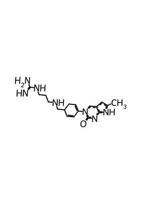 Cc1cc2cn(C3=CCC(CNCCCNC(=N)N)C=C3)c(=O)nc2[nH]1